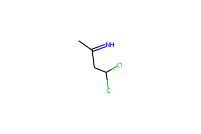 CC(=N)CC(Cl)Cl